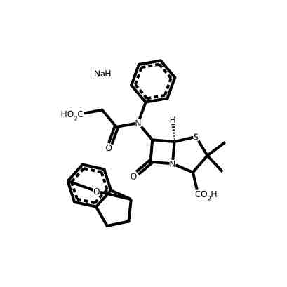 CC1(C)S[C@@H]2C(N(C(=O)CC(=O)O)c3ccccc3)C(=O)N2C1C(=O)O.[NaH].c1cc2c3cc1OC2CC3